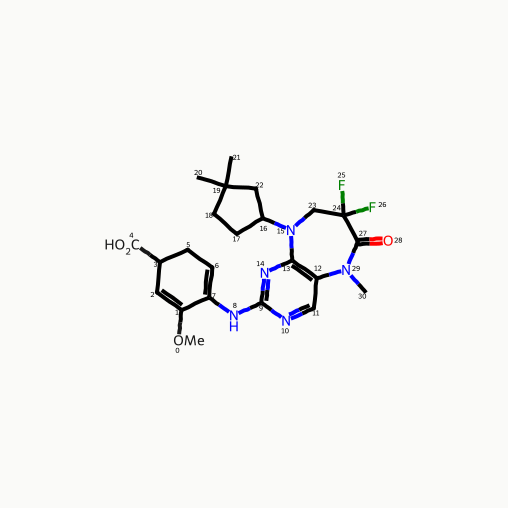 COC1=CC(C(=O)O)CC=C1Nc1ncc2c(n1)N(C1CCC(C)(C)C1)CC(F)(F)C(=O)N2C